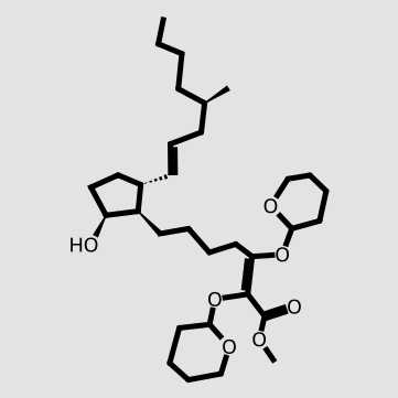 CCCC[C@@H](C)C/C=C/[C@H]1CC[C@H](O)[C@@H]1CCCC/C(OC1CCCCO1)=C(\OC1CCCCO1)C(=O)OC